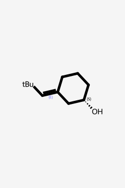 CC(C)(C)/C=C1\CCC[C@H](O)C1